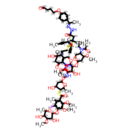 CC#C/C=C\C#C[C@H](OC1OC(C)C(NOC2CC(O)C(SC(=O)c3c(C)c(I)c(OC4OC(C)C(O)C(OC)C4O)c(OC)c3OC)C(C)O2)C(O)C1OC1CC(OC)C(N(CC)C(C)=O)CO1)C1=C(NC(=O)OC)C(=O)C[C@](C)(O)/C1=C/CSSC(C)(C)CC(=O)N/N=C(\C)c1ccc(OCCCC=O)cc1